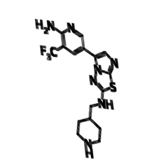 Nc1ncc(-c2cnc3sc(NCC4CCNCC4)nn23)cc1C(F)(F)F